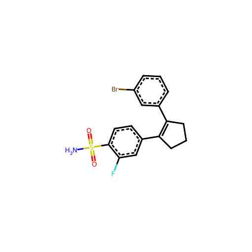 NS(=O)(=O)c1ccc(C2=C(c3cccc(Br)c3)CCC2)cc1F